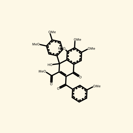 COC(=O)C1=C(C(=O)c2cccc(OC)c2)C(=O)c2cc(OC)c(OC)c(OC)c2C1(O)c1ccc(OC)c(OC)c1